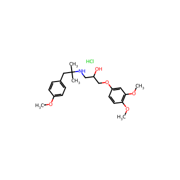 COc1ccc(CC(C)(C)NCC(O)COc2ccc(OC)c(OC)c2)cc1.Cl